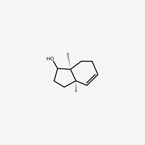 C[C@@]12C=CCC[C@]1(C)C(O)CC2